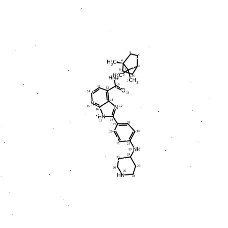 CC1(C)C2CC[C@@]1(C)[C@@H](NC(=O)c1ccnc3[nH]c(-c4ccc(NC5CCNCC5)cc4)nc13)C2